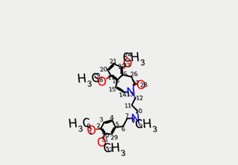 COc1ccc(CCN(C)CCCN2C=Cc3c(OC)ccc(OC)c3CC2=O)cc1OC